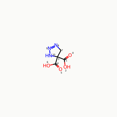 O=C(O)C1(C(=O)O)CN=NN1